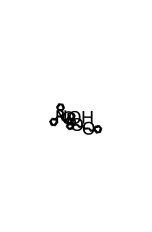 OB1OC(CN(Cc2ccccc2)Cc2ccccc2)c2cccc(OCCCOCc3ccccc3)c21